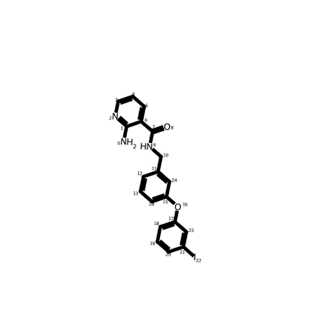 Nc1ncccc1C(=O)NCc1cccc(Oc2cccc(I)c2)c1